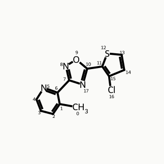 Cc1cccnc1-c1noc(-c2sccc2Cl)n1